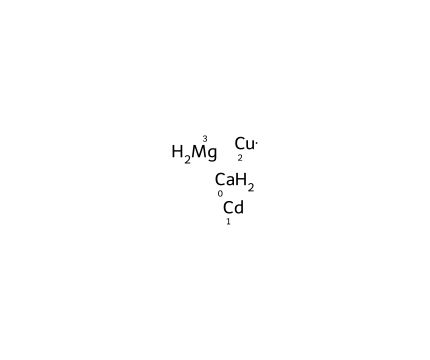 [CaH2].[Cd].[Cu].[MgH2]